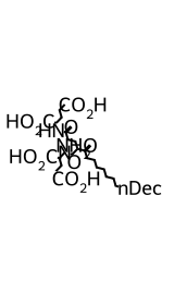 CCCCCCCCCCCCCCCCCC(=O)C(CCC(=O)NC(CCC(=O)O)C(=O)O)C(=O)N(N)C(CCC(=O)O)C(=O)O